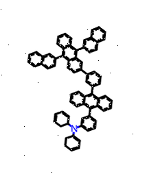 C1=CCCC(N(c2cccc(-c3c4ccccc4c(-c4cccc(-c5ccc6c(-c7ccc8ccccc8c7)c7ccccc7c(-c7ccc8ccccc8c7)c6c5)c4)c4ccccc34)c2)C2C=CC=CC2)=C1